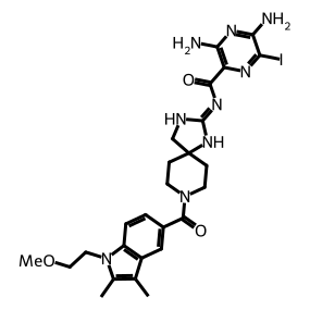 COCCn1c(C)c(C)c2cc(C(=O)N3CCC4(CC3)CN/C(=N\C(=O)c3nc(I)c(N)nc3N)N4)ccc21